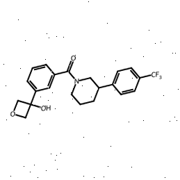 O=C(c1cccc(C2(O)COC2)c1)N1CCCC(c2ccc(C(F)(F)F)cc2)C1